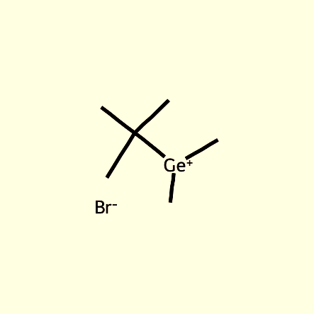 [Br-].[CH3][Ge+]([CH3])[C](C)(C)C